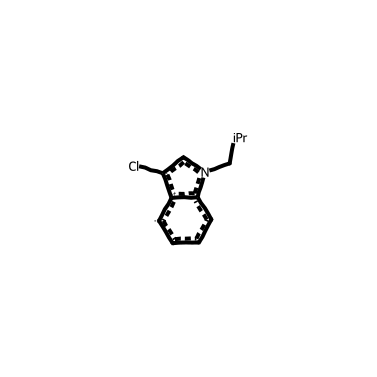 CC(C)Cn1cc(Cl)c2[c]cccc21